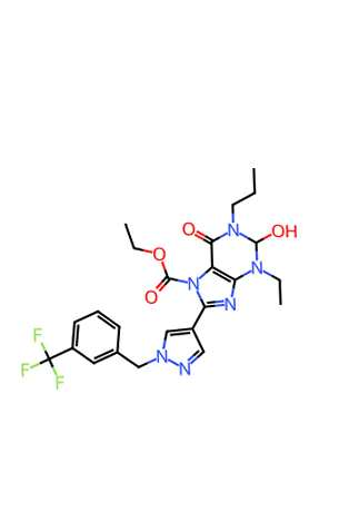 CCCN1C(=O)c2c(nc(-c3cnn(Cc4cccc(C(F)(F)F)c4)c3)n2C(=O)OCC)N(CC)C1O